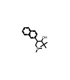 CN(C)CC(c1ccc2ccccc2c1)C(O)C(C)(C)C